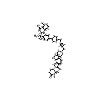 CC1(C)c2ccc(C3CCN(CC45CC(CN6CCC7(CC6)COc6c7ccc7c6CN([C@H]6CCC(=O)NC6=O)C7=O)(C4)C5)CC3)cc2-n2c1nc(=O)c1c(Cl)cccc12